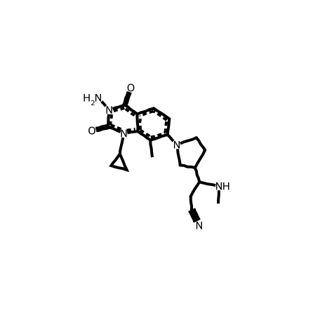 CNC(CC#N)C1CCN(c2ccc3c(=O)n(N)c(=O)n(C4CC4)c3c2C)C1